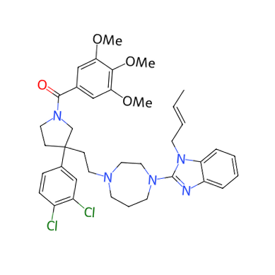 CC=CCn1c(N2CCCN(CCC3(c4ccc(Cl)c(Cl)c4)CCN(C(=O)c4cc(OC)c(OC)c(OC)c4)C3)CC2)nc2ccccc21